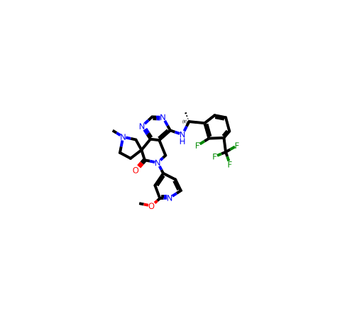 COc1cc(N2Cc3c(N[C@H](C)c4cccc(C(F)(F)F)c4F)ncnc3C3(CCN(C)C3)C2=O)ccn1